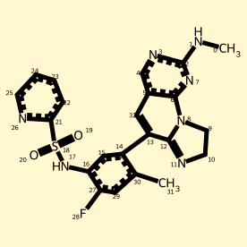 CNc1ncc2c(n1)N1CCN=C1C(c1cc(NS(=O)(=O)c3ccccn3)c(F)cc1C)=C2